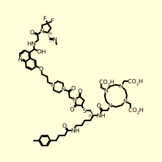 C/N=C/[C@H]1CC(F)(F)CN1C(=O)CNC(O)c1ccnc2ccc(OCCCN3CCN(C(=O)CN4C(=O)CC(SC[C@H](CCCCNC(=O)CCCc5ccc(C)cc5)NC(=O)CN5CCN(CC(=O)O)CCN(CC(=O)O)CCN(CC(=O)O)CC5)C4=O)CC3)cc12